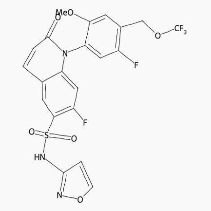 COc1cc(COC(F)(F)F)c(F)cc1-n1c(=O)ccc2cc(S(=O)(=O)Nc3ccon3)c(F)cc21